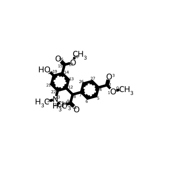 COC(=O)c1ccc(C(C(C)=O)c2cc(C(=O)OC)c(O)cc2N(C)C)cc1